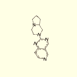 c1cc2nc(N3CCN4CCCC4C3)ncc2cn1